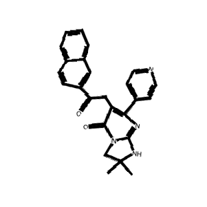 CC1(C)Cn2c(nc(-c3ccncc3)c(CC(=O)c3ccc4ccccc4c3)c2=O)N1